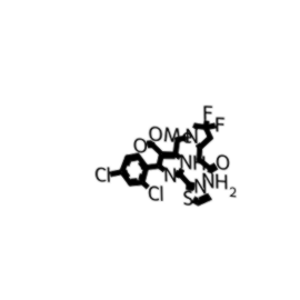 COC(=O)C1=C(CN2CC(F)(F)CC2CC(N)=O)NC(c2nccs2)=NC1c1ccc(Cl)cc1Cl